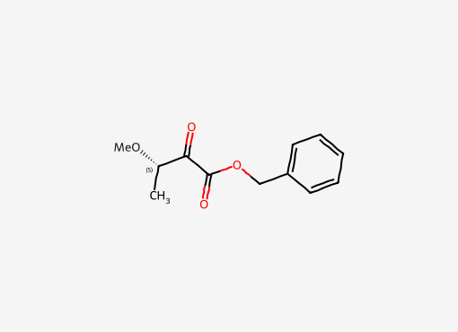 CO[C@@H](C)C(=O)C(=O)OCc1ccccc1